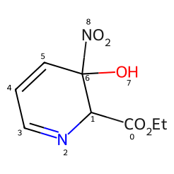 CCOC(=O)C1N=CC=CC1(O)[N+](=O)[O-]